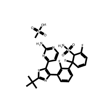 CC(C)(C)c1nc(-c2cccc(C3(F)C=CC=C(F)C3S(N)(=O)=O)c2F)c(-c2ccnc(N)n2)s1.CS(=O)(=O)O